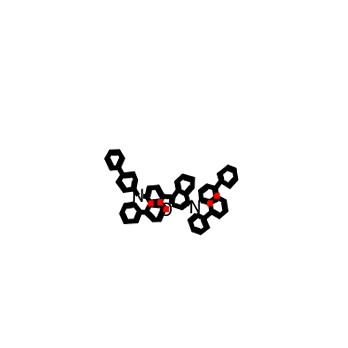 c1ccc(-c2ccc(N(c3ccc4c(c3)oc3cc(N(c5ccc(-c6ccccc6)cc5)c5ccccc5-c5ccccc5)c5ccccc5c34)c3ccccc3-c3ccccc3)cc2)cc1